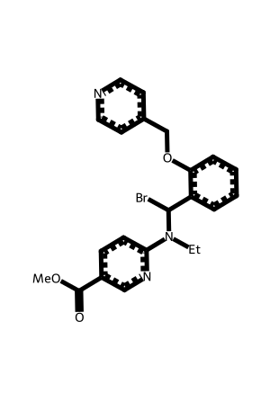 CCN(c1ccc(C(=O)OC)cn1)C(Br)c1ccccc1OCc1ccncc1